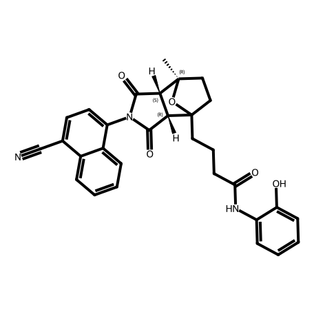 C[C@]12CCC(CCCC(=O)Nc3ccccc3O)(O1)[C@@H]1C(=O)N(c3ccc(C#N)c4ccccc34)C(=O)[C@@H]12